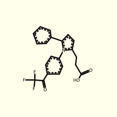 O=C(O)CCc1ccc(-c2ccccc2)n1-c1ccc(C(=O)C(F)(F)F)cc1